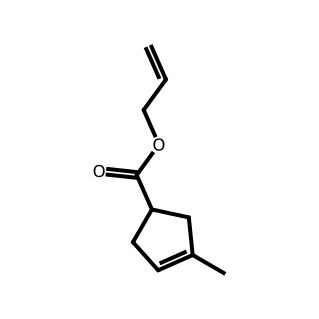 C=CCOC(=O)C1CC=C(C)C1